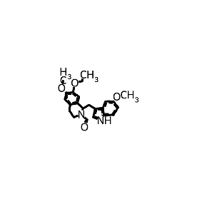 CCOc1cc2c(cc1OC)CCN(C=O)C2Cc1c[nH]c2ccc(OC)cc12